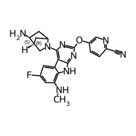 CNc1cc(F)cc2c1[nH]c1nc(Oc3ccc(C#N)nc3)nc(N3C[C@H]4CC3C[C@@H]4N)c12